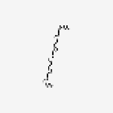 CCCOCCOCCOCCOCCOCC[N+](=O)[O-]